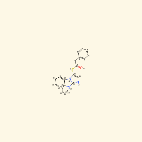 O=C(Cc1ccccc1)Sc1cnc2n1C1=CCC=CC13C=CC=CN23